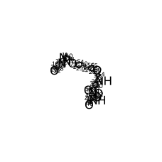 CC(C)(c1ccc(OCc2ccnc(N3CCC4(CC3)COC4)n2)cc1)c1ccc(O[C@H]2C[C@@H](Nc3ccc4c(c3)C(=O)N(C3CCC(=O)NC3=O)C4=O)C2)cc1